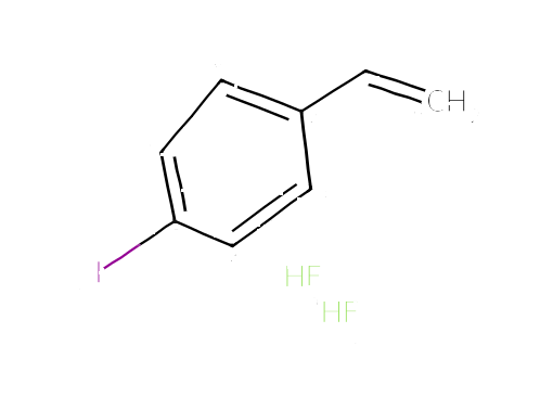 C=Cc1ccc(I)cc1.F.F